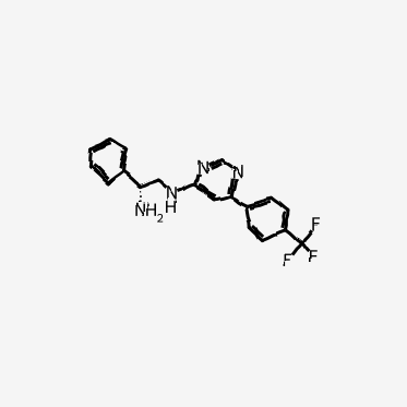 N[C@@H](CNc1cc(-c2ccc(C(F)(F)F)cc2)ncn1)c1ccccc1